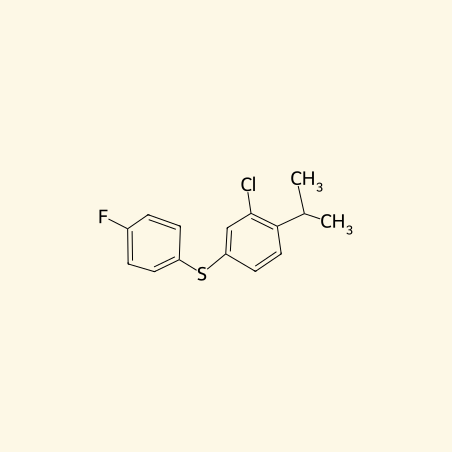 CC(C)c1ccc(Sc2ccc(F)cc2)cc1Cl